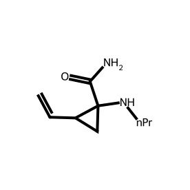 C=CC1CC1(NCCC)C(N)=O